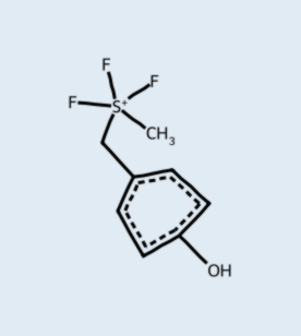 C[S+](F)(F)(F)Cc1ccc(O)cc1